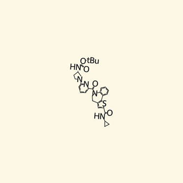 CC(C)(C)OC(=O)N[C@H]1CCN(c2cccc(C(=O)N3CCc4cc(C(=O)NC5CC5)sc4-c4ccccc43)n2)C1